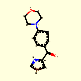 O=C(c1ccc(N2CCOCC2)cc1)c1cscn1